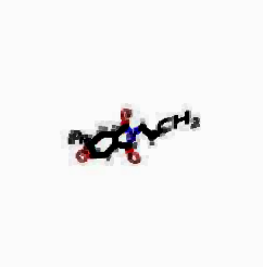 C=CCN1C(=O)C2CC3OC3(C(C)C)CC2C1=O